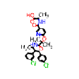 CC(NC(=O)c1ccc(OC(C)(C)C(=O)NC(C)C(Cc2ccc(Cl)cc2)c2cccc(Cl)c2)nc1)C(=O)O